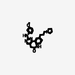 COc1cccc(Nc2ncc3c(n2)-c2cc(CCCN4CCCC4)ccc2NC(=O)C3)c1